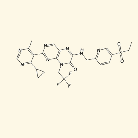 CCS(=O)(=O)c1ccc(CNc2nc3cnc(-c4c(C)ncnc4C4CC4)nc3n(CC(F)(F)F)c2=O)nc1